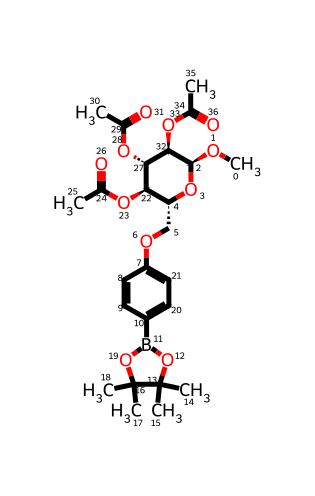 CO[C@H]1O[C@H](COc2ccc(B3OC(C)(C)C(C)(C)O3)cc2)[C@@H](OC(C)=O)[C@H](OC(C)=O)[C@H]1OC(C)=O